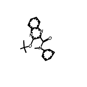 CN(C(=O)c1nc2ccccc2nc1OC(C)(C)C)c1ccccc1